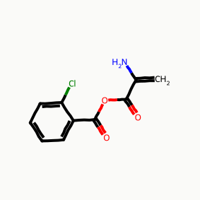 C=C(N)C(=O)OC(=O)c1ccccc1Cl